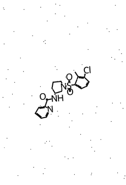 Cc1c(Cl)cccc1S(=O)(=O)N1CCC[C@H](NC(=O)c2ccccn2)C1